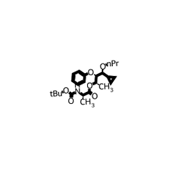 CCCO[C@@H](C1CC1)[C@@H](Oc1ccccc1)[C@H](C)OC(=O)[C@H](C)NC(=O)OC(C)(C)C